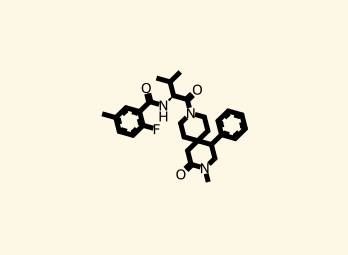 Cc1ccc(F)c(C(=O)N[C@@H](C(=O)N2CCC3(CC2)CC(=O)N(C)CC3c2ccccc2)C(C)C)c1